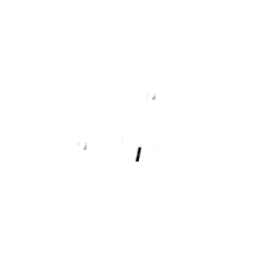 CC(=O)O.O.O.O.O.O.[Ni].[Ni]